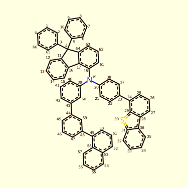 c1ccc(C2(c3ccccc3)c3ccccc3-c3c(N(c4ccc(-c5cccc6c5sc5ccccc56)cc4)c4cccc(-c5cccc(-c6cccc7ccccc67)c5)c4)cccc32)cc1